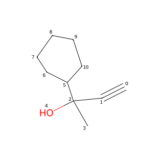 C#CC(C)(O)C1CCCCC1